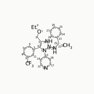 CCOCC1=C(c2cccc(C(F)(F)F)c2)N(c2ccncc2)N(N[C@@H](C)c2ccccc2)N1